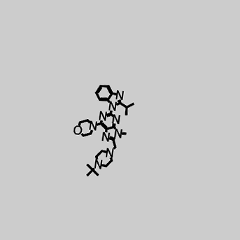 CC(C)c1nc2ccccc2n1-c1nc(N2CCOCC2)c2nc(CN3CCN(C(C)(C)C)CC3)n(C)c2n1